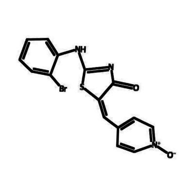 O=C1N=C(Nc2ccccc2Br)S/C1=C/c1cc[n+]([O-])cc1